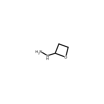 NNC1CCO1